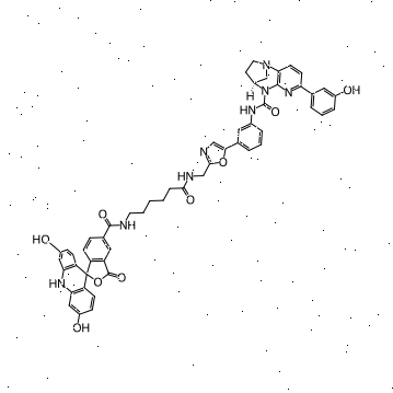 O=C(CCCCCNC(=O)c1ccc2c(c1)C(=O)OC21c2ccc(O)cc2Nc2cc(O)ccc21)NCc1ncc(-c2cccc(NC(=O)N3c4nc(-c5cccc(O)c5)ccc4N4CC[C@H]3C4)c2)o1